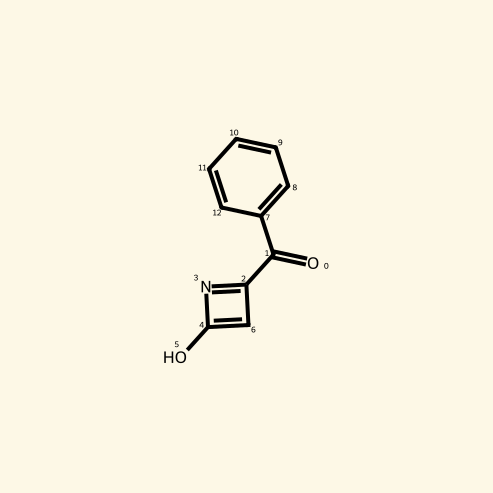 O=C(C1=NC(O)=C1)c1ccccc1